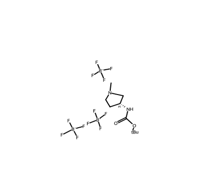 CN1CC[C@@H](NC(=O)OC(C)(C)C)C1.F[B-](F)(F)F.F[B-](F)(F)F.F[B-](F)(F)F